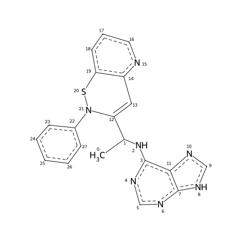 CC(Nc1ncnc2[nH]cnc12)C1=Cc2ncccc2SN1c1ccccc1